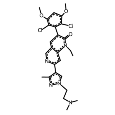 CCn1c(=O)c(-c2c(Cl)c(OC)cc(OC)c2Cl)cc2cnc(-c3cn(CCN(C)C)nc3C)cc21